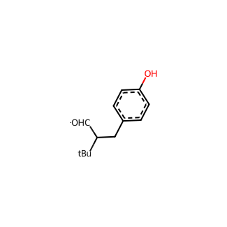 CC(C)(C)C([C]=O)Cc1ccc(O)cc1